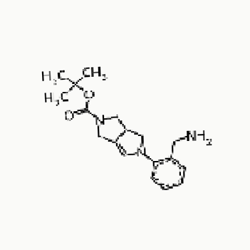 CC(C)(C)OC(=O)N1CC2=CN(c3ccccc3CN)CC2C1